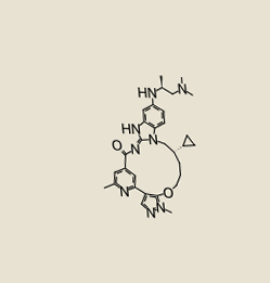 Cc1cc2cc(n1)-c1cnn(C)c1OCCC[C@@H](C1CC1)CN1/C(=N/C2=O)Nc2cc(N[C@@H](C)CN(C)C)ccc21